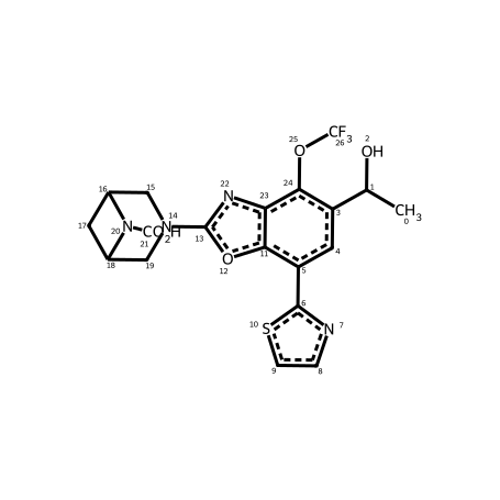 CC(O)c1cc(-c2nccs2)c2oc(N3CC4CC(C3)N4C(=O)O)nc2c1OC(F)(F)F